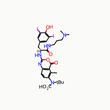 Cc1c(N(C(=O)O)C(C)(C)C)ccc2nc(N[C@@H](Cc3cc(I)c(O)c(I)c3)C(=O)NCCCN(C)C)oc(=O)c12